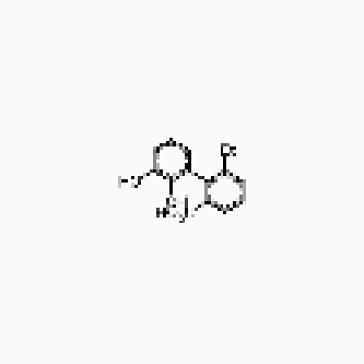 CCc1cccc(C(=O)O)c1-c1cccc(O)c1O